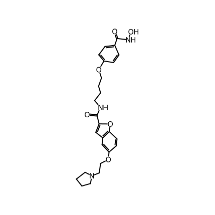 O=C(NO)c1ccc(OCCCCNC(=O)c2cc3cc(OCCN4CCCC4)ccc3o2)cc1